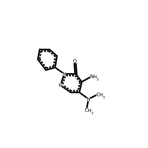 CN(C)c1cnn(-c2ccccc2)c(=O)c1N